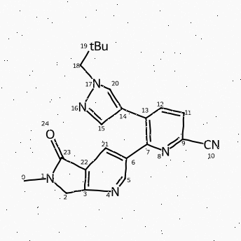 CN1Cc2ncc(-c3nc(C#N)ccc3-c3cnn(CC(C)(C)C)c3)cc2C1=O